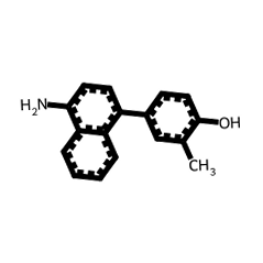 Cc1cc(-c2ccc(N)c3ccccc23)ccc1O